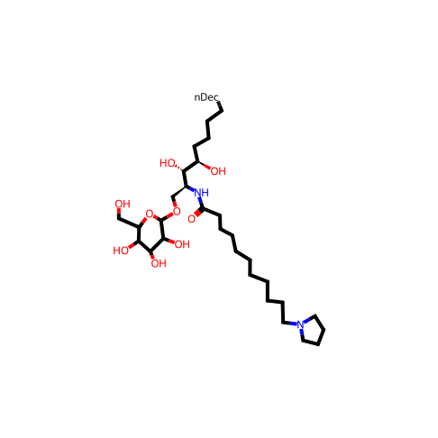 CCCCCCCCCCCCCC[C@@H](O)[C@@H](O)[C@H](COC1OC(CO)C(O)C(O)C1O)NC(=O)CCCCCCCCCCN1CCCC1